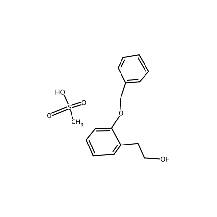 CS(=O)(=O)O.OCCc1ccccc1OCc1ccccc1